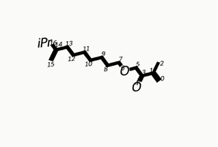 C=C(C)C(=O)COCCCCCCCC(=C)C(C)C